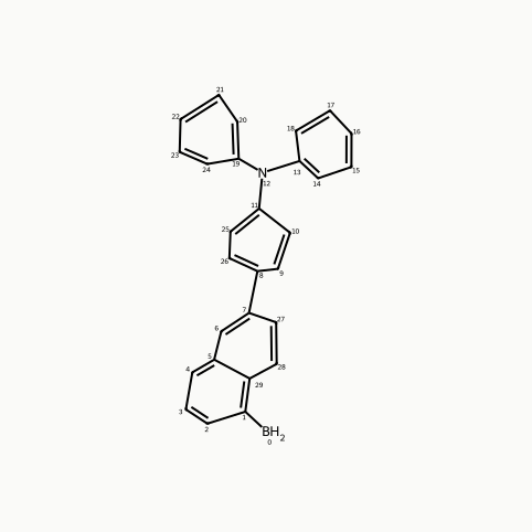 Bc1cccc2cc(-c3ccc(N(c4ccccc4)c4ccccc4)cc3)ccc12